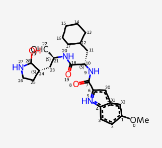 COc1ccc2[nH]c(C(=O)N[C@@H](CC3CCCCC3)C(=O)N[C@H](C=O)C[C@@H]3CCNC3O)cc2c1